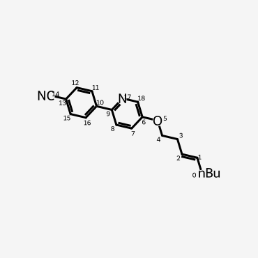 CCCCC=CCCOc1ccc(-c2ccc(C#N)cc2)nc1